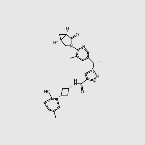 Cc1ccc(C#N)c([C@H]2C[C@@H](NC(=O)c3cn([C@@H](C)c4cnc(N5C[C@H]6C[C@H]6C5=O)c(C)c4)nn3)C2)c1